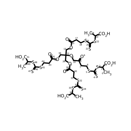 CC(SC(=S)SCCC(=O)COC(COC(=O)CCSC(=S)SC(C)C(=O)O)(COC(=O)CCSC(=S)SC(C)C(=O)O)COC(=O)CCSC(=S)SC(C)C(=O)O)C(=O)O